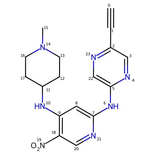 C#Cc1cnc(Nc2cc(NC3CCN(C)CC3)c([N+](=O)[O-])cn2)cn1